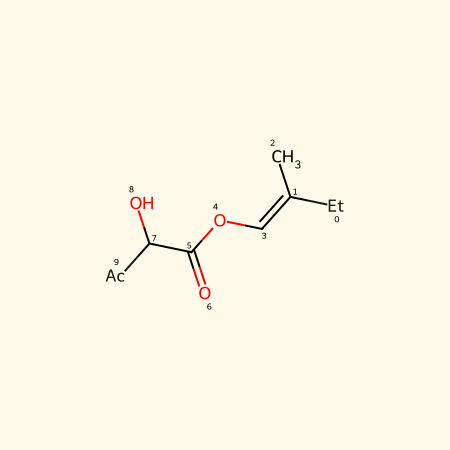 CCC(C)=COC(=O)C(O)C(C)=O